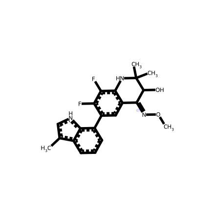 CO/N=C1/c2cc(-c3cccc4c(C)c[nH]c34)c(F)c(F)c2NC(C)(C)C1O